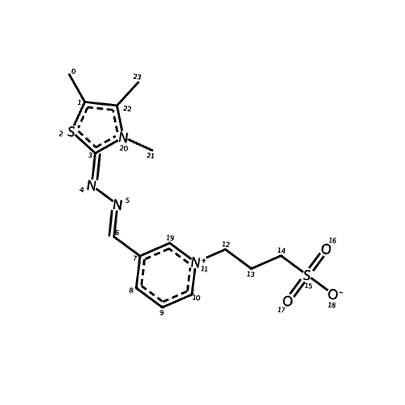 Cc1sc(=NN=Cc2ccc[n+](CCCS(=O)(=O)[O-])c2)n(C)c1C